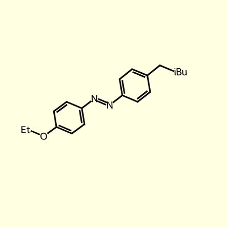 CCOc1ccc(N=Nc2ccc(CC(C)CC)cc2)cc1